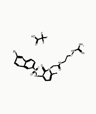 Cc1ccc(NS(=O)(=O)c2ccc3cc(Br)ccc3c2)c(=O)n1CC(=O)NCCONC(=N)N.O=C(O)C(F)(F)F